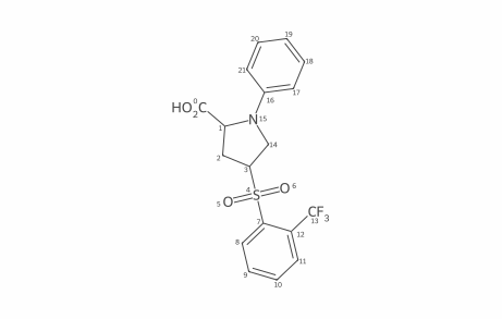 O=C(O)C1CC(S(=O)(=O)c2ccccc2C(F)(F)F)CN1c1ccccc1